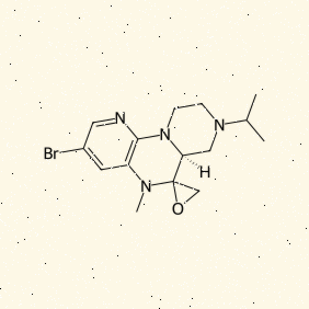 CC(C)N1CCN2c3ncc(Br)cc3N(C)C3(CO3)[C@@H]2C1